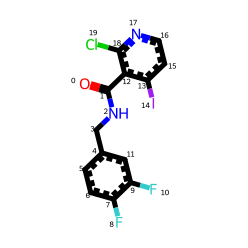 O=C(NCc1ccc(F)c(F)c1)c1c(I)ccnc1Cl